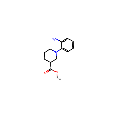 CC(C)(C)OC(=O)C1CCCN(c2ccccc2N)C1